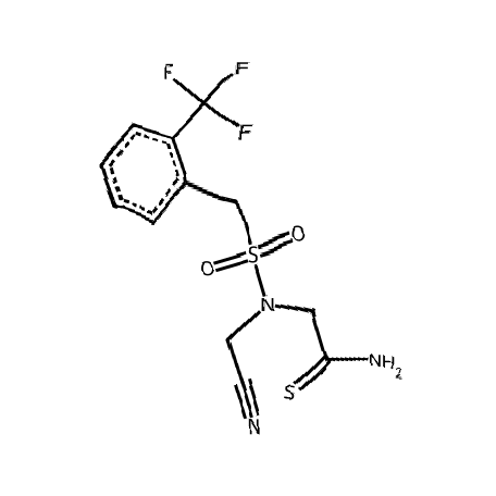 N#CCN(CC(N)=S)S(=O)(=O)Cc1ccccc1C(F)(F)F